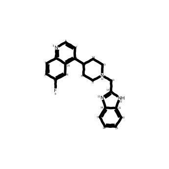 Fc1ccc2nccc(C3CCN(Cc4nc5ccccc5[nH]4)CC3)c2c1